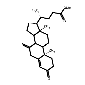 COC(=O)CC[C@@H](C)[C@H]1CCC2C3C(=O)CC4=CC(=O)CC[C@]4(C)C3CC[C@@]21C